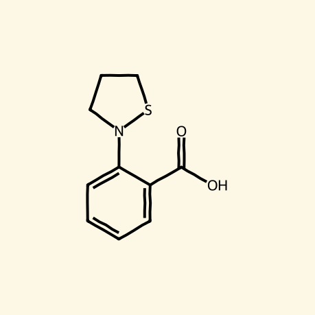 O=C(O)c1ccccc1N1CCCS1